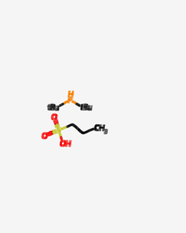 CC(C)(C)PC(C)(C)C.CCCS(=O)(=O)O